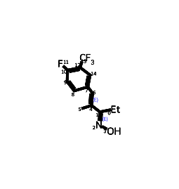 CCC(=N\O)/C(C)=C/c1ccc(F)c(C(F)(F)F)c1